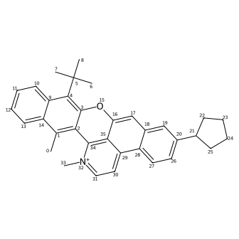 Cc1c2c(c(C(C)(C)C)c3ccccc13)Oc1cc3cc(C4CCCC4)ccc3c3cc[n+](C)c-2c13